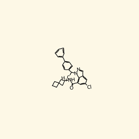 CC(c1ccc(-c2ccccc2)cc1)n1ncc2cc(Cl)cc(C(=O)NC3CC4(CCC4)C3)c21